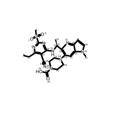 CCc1nc(S(C)(=O)=O)nc(N[C@@H](C)c2nc3ccn(C)c3cc2N2CCN(C(=O)O)CC2)c1C#N